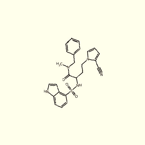 CN(Cc1ccccc1)C(=O)C(CCn1cccc1C#N)NS(=O)(=O)c1cccc2[nH]ccc12